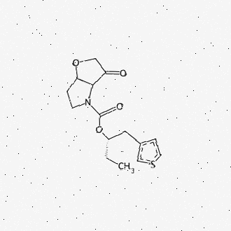 CC[C@@H](Cc1ccsc1)OC(=O)N1CCC2OCC(=O)C21